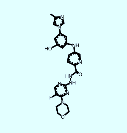 Cc1cn(-c2cc(O)cc(Nc3ccc(C(=O)NNc4ncc(F)c(N5CCOCC5)n4)nc3)c2)cn1